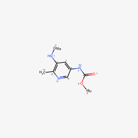 CONc1cc(NC(=O)OC(C)(C)C)cnc1C